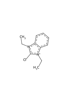 CCn1c(Cl)[n+](CC)c2ccccc21